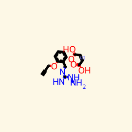 C#CCOc1ccccc1C=NC(=N)NN.O=C(O)/C=C\C(=O)O